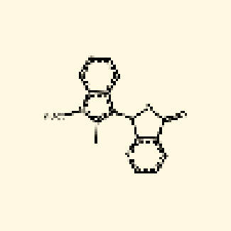 CCCCCCCCn1c(C)c(C2OC(=O)c3cccnc32)c2ccccc21